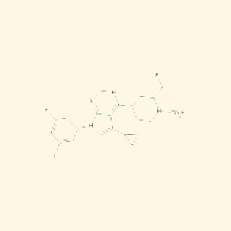 O=C(O)N1CCN(c2ncnc3c2c(C2CC2)cn3-c2cc(F)cc(F)c2)CC1CF